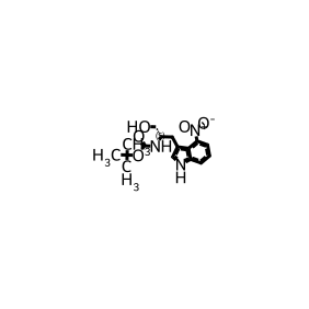 CC(C)(C)OC(=O)N[C@H](CO)Cc1c[nH]c2cccc([N+](=O)[O-])c12